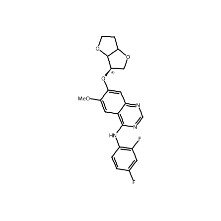 COc1cc2c(Nc3ccc(F)cc3F)ncnc2cc1O[C@@H]1COC2CCOC21